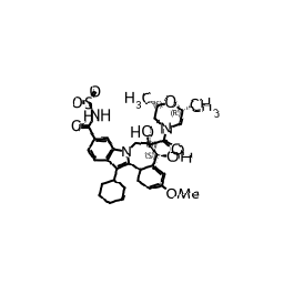 COC1=CCC2C(=C1)[C@H](O)[C@@](O)(C(=O)N1C[C@@H](C)O[C@@H](C)C1)Cn1c2c(C2CCCCC2)c2ccc(C(=O)N[SH](=O)=O)cc21